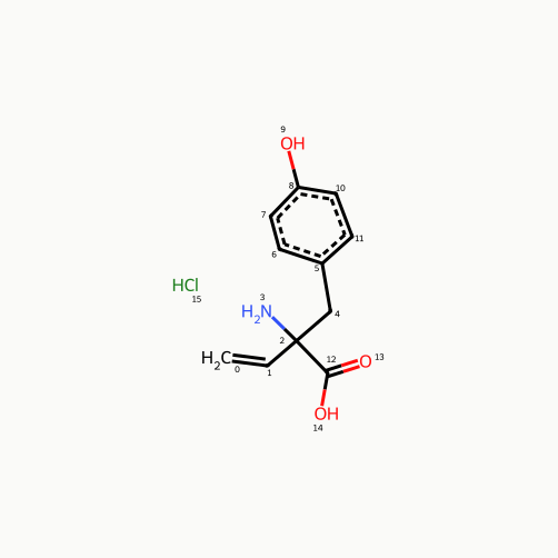 C=CC(N)(Cc1ccc(O)cc1)C(=O)O.Cl